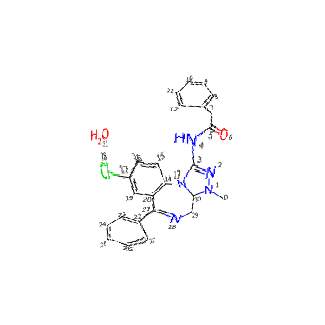 CN1N=C(NC(=O)c2ccccc2)N2c3ccc(Cl)cc3C(c3ccccc3)=NCC12.O